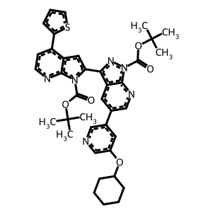 CC(C)(C)OC(=O)n1nc(-c2cc3c(-c4cccs4)ccnc3n2C(=O)OC(C)(C)C)c2cc(-c3cncc(OC4CCCCC4)c3)cnc21